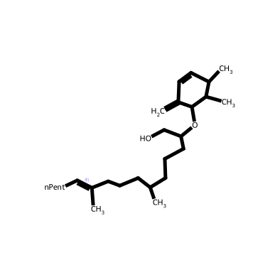 C=C1C=CC(C)C(C)C1OC(CO)CCCC(C)CCC/C(C)=C/CCCCC